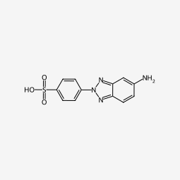 Nc1ccc2nn(-c3ccc(S(=O)(=O)O)cc3)nc2c1